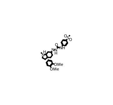 COc1ccc([C@@]23CCC(=NNC(=O)Nc4ccc(S(C)(=O)=O)cc4)C[C@@H]2N(C)CC3)cc1OC